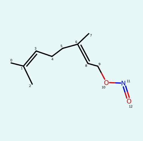 CC(C)=CCCC(C)=CCON=O